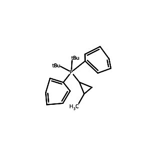 CC1CC1P(c1ccccc1)(c1ccccc1)(C(C)(C)C)C(C)(C)C